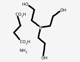 N.O=C(O)CCC(=O)O.OCCN(CCO)CCO